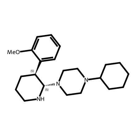 COc1ccccc1[C@@H]1CCCN[C@H]1N1CCN(C2CCCCC2)CC1